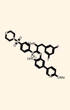 CNC(Cc1cc(F)cc(F)c1)/C(=N/c1cc(-c2ccc(OC)nc2)ccc1C=O)N(C)c1ccc(S(=O)(=O)N2CCOCC2)cc1